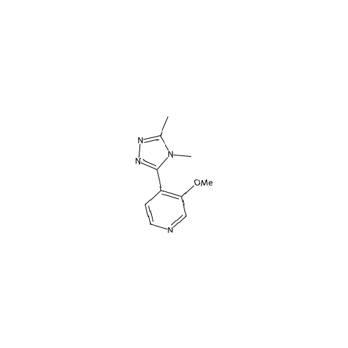 COc1cnccc1-c1nnc(C)n1C